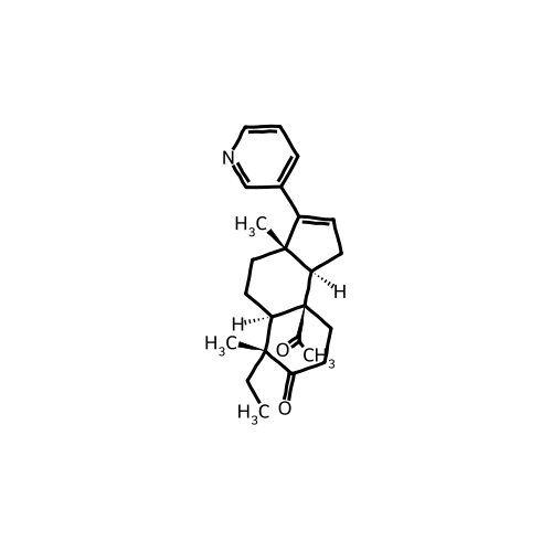 CC[C@@]1(C)C(=O)CC[C@]2(C(C)=O)[C@@H]1CC[C@]1(C)C(c3cccnc3)=CC[C@@H]21